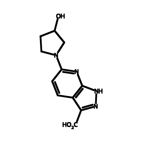 O=C(O)c1n[nH]c2nc(N3CCC(O)C3)ccc12